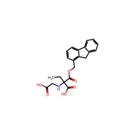 CCC(NCC(=O)O)(C(=O)O)C(=O)OCc1cccc2c1Cc1ccccc1-2